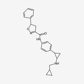 O=C(Nc1ccc(C2CC2NCC2CC2)cc1)C1=NOC(c2ccccc2)C1